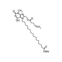 C=CCCC(=O)OCc1nc2c(c(O)nc(=O)n2C)n1CCCCCCCCCCCCCCCC(=O)OC